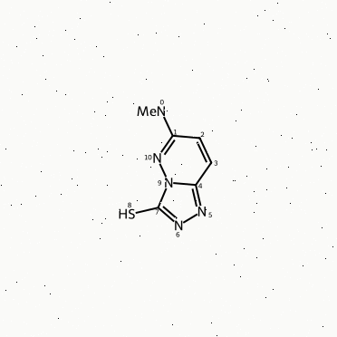 CNc1ccc2nnc(S)n2n1